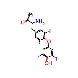 CC(C)C(=O)[C@@H](N)Cc1cc(I)c(Oc2cc(I)c(O)c(I)c2)c(I)c1